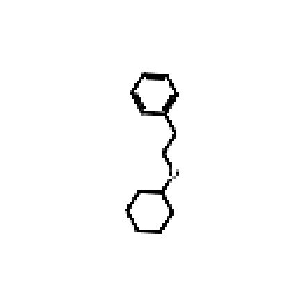 c1ccc(CCOC2CCCCC2)cc1